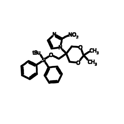 CC1(C)OCC(CO[Si](c2ccccc2)(c2ccccc2)C(C)(C)C)(n2ccnc2[N+](=O)[O-])CO1